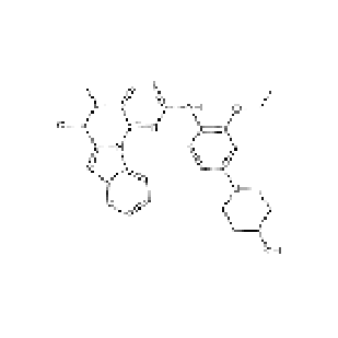 CCOc1cc(N2CCC(O)CC2)ccc1Nc1ncc2c(n1)n1c(cc3ccccc31)c(=O)n2C